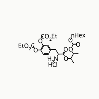 CCCCCCOC(=O)OC(C)[C@@H](C)OC(=O)[C@@H](N)Cc1ccc(OC(=O)OCC)c(OC(=O)OCC)c1.Cl